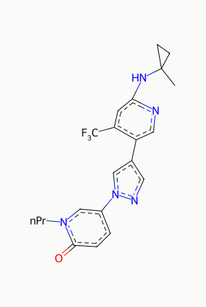 CCCn1cc(-n2cc(-c3cnc(NC4(C)CC4)cc3C(F)(F)F)cn2)ccc1=O